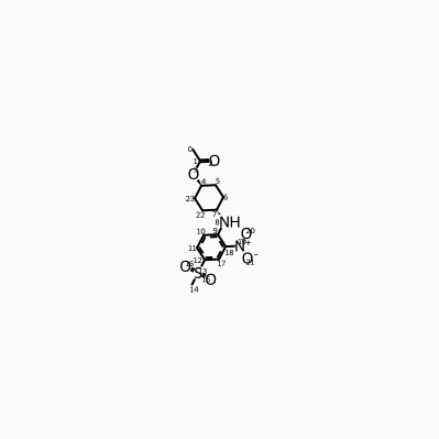 CC(=O)O[C@H]1CC[C@H](Nc2ccc(S(C)(=O)=O)cc2[N+](=O)[O-])CC1